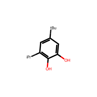 CC(C)c1cc(C(C)(C)C)cc(O)c1O